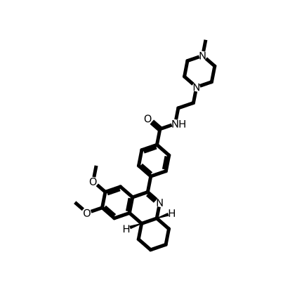 COc1cc2c(cc1OC)[C@H]1CCCC[C@H]1N=C2c1ccc(C(=O)NCCN2CCN(C)CC2)cc1